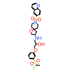 CC(F)S(=O)(=O)c1cccc(OCC(O)CN[C@H]2COC3(CCN(S(=O)(=O)c4ccc5ncccc5c4)CC3)C2)c1